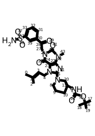 CC(C)=CCn1c(N2CCCC(NC(=O)OC(C)(C)C)C2)nc2c1c(=O)n(CC(=O)c1cccc(S(N)(=O)=O)c1)c(=O)n2C